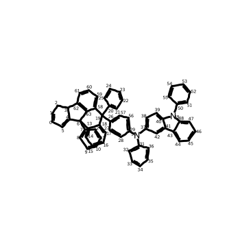 C1=CCC2C(=C1)C1(c3ccccc3)c3ccccc3C(c3ccccc3)(c3ccc(N(c4ccccc4)c4ccc5c(c4)c4ccccc4n5-c4ccccc4)cc3)c3cccc2c31